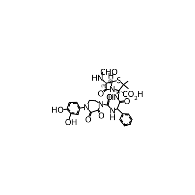 CC1(C)S[C@@H]2[C@H](NC=O)C(=O)N2[C@@]1(NC(=O)C(NC(=O)N1CCN(c2ccc(O)c(O)c2)C(=O)C1=O)c1ccccc1)C(=O)O